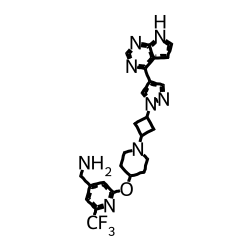 NCc1cc(OC2CCN(C3CC(n4cc(-c5ncnc6[nH]ccc56)cn4)C3)CC2)nc(C(F)(F)F)c1